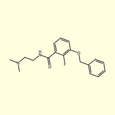 CN(C)CCNC(=O)c1cccc(OCc2ccccc2)c1F